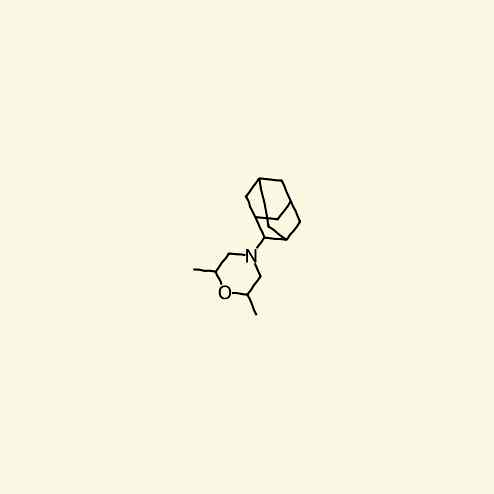 CC1CN(C2C3CC4CC(C3)CC2C4)CC(C)O1